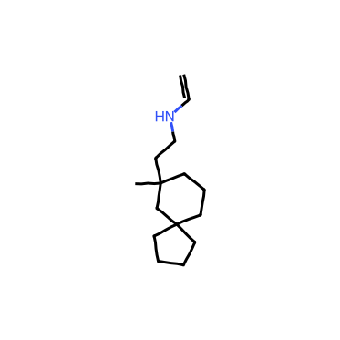 C=CNCCC1(C)CCCC2(CCCC2)C1